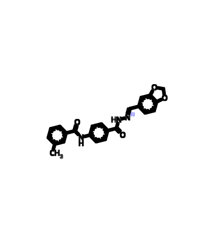 Cc1cccc(C(=O)Nc2ccc(C(=O)N/N=C/c3ccc4c(c3)OCO4)cc2)c1